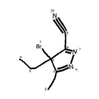 CCC1(Br)C(C)=NN=C1C#N